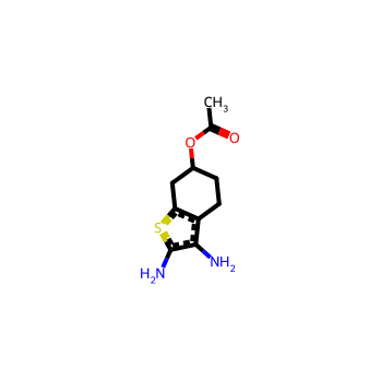 CC(=O)OC1CCc2c(sc(N)c2N)C1